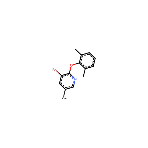 CC(=O)c1cnc(Oc2c(C)cccc2C)c(Br)c1